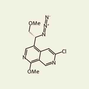 COC[C@H](N=[N+]=[N-])c1cnc(OC)c2cnc(Cl)cc12